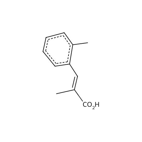 CC(=Cc1ccccc1C)C(=O)O